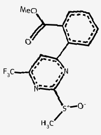 COC(=O)c1ccccc1-c1cc(C(F)(F)F)nc([S+](C)[O-])n1